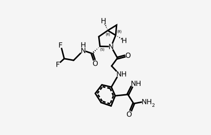 N=C(C(N)=O)c1ccccc1NCC(=O)N1[C@@H]2C[C@@H]2C[C@H]1C(=O)NCC(F)F